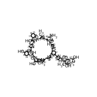 Cc1sc2nc1C(=O)N[C@@H]([C@H](O)c1ccccc1)c1nc(cs1)C(=O)N[C@@H](Cc1ccc(O)cc1)C(=O)N1C[C@H](O)[C@H](C)[C@H]1c1nc(cs1)-c1nc(cs1)-c1nc(-c3nc(C(=O)N[C@@H](C(=O)NCC(=O)O)C(C)(C)O)cs3)ccc1-c1nc(cs1)C(=O)N[C@H]2CC(N)=O